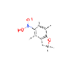 Cc1c(C)c(N(O)O)c(C)c2c1OC(C)(C)C2